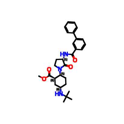 COC(=O)[C@@H]1C[C@H](NC(C)(C)C)CC[C@@H]1N1CC[C@H](NC(=O)c2cccc(-c3ccccc3)c2)C1=O